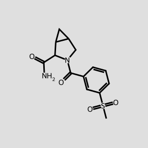 CS(=O)(=O)c1cccc(C(=O)N2CC3CC3C2C(N)=O)c1